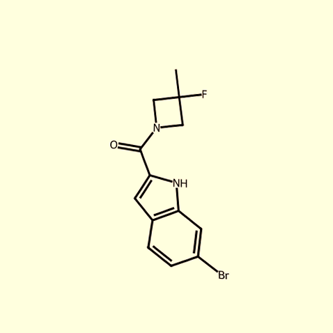 CC1(F)CN(C(=O)c2cc3ccc(Br)cc3[nH]2)C1